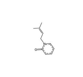 CC(C)=CCn1ccccc1=O